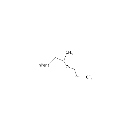 CCCCCCC(C)OC[CH]C(F)(F)F